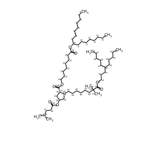 CCCCCCCCC(CCCCCCCC)OC(=O)CCCCCCCOC(=O)[C@@H]1CC(OC(=O)CCN(C)C)CN1CCCCCCC(C)(C)C(=O)OCCCC(CCCCC)CCCCC